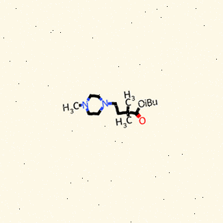 CC(C)COC(=O)C(C)(C)CCN1CCN(C)CC1